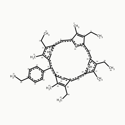 CCC1=C(C)c2cc3[nH]c(c(C)c3CC)c(-c3ccc(CN)cc3)c3nc(cc4[nH]c(cc1n2)c(CC)c4C)C(CC)=C3C